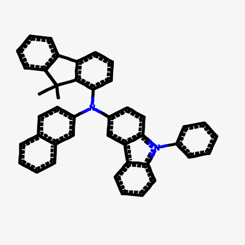 CC1(C)c2ccccc2-c2cccc(N(c3ccc4ccccc4c3)c3ccc4c(c3)c3ccccc3n4-c3ccccc3)c21